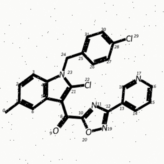 Cc1ccc2c(c1)c(C(=O)c1nc(-c3cccnc3)no1)c(Cl)n2Cc1ccc(Cl)cc1